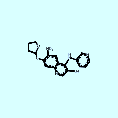 N#Cc1cnc2cc(OC3CCCO3)c([N+](=O)[O-])cc2c1Nc1cccnc1